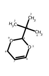 CC(C)(C)C1OC=CCO1